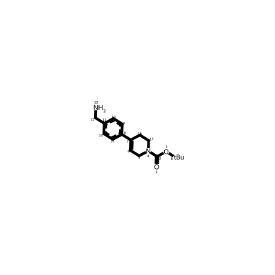 CC(C)(C)OC(=O)N1CC=C(c2ccc(CN)cc2)CC1